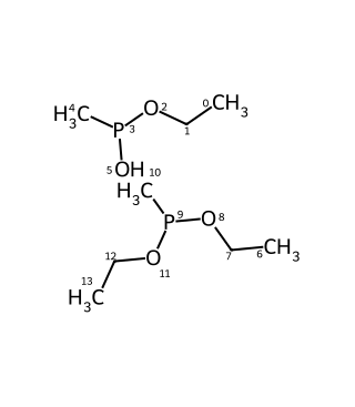 CCOP(C)O.CCOP(C)OCC